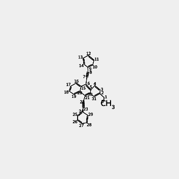 CCc1ccc2c(C#Cc3ccccc3)c3ccccc3c(C#Cc3ccccc3)c2c1